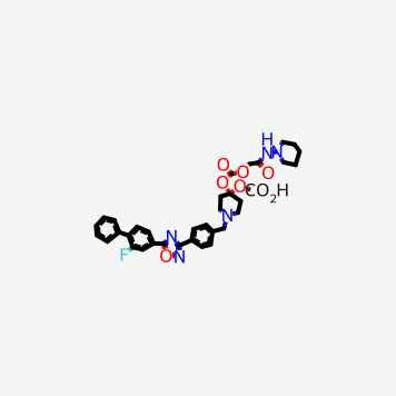 O=C(COC(=O)OC1(OC(=O)O)CCN(Cc2ccc(-c3noc(-c4ccc(-c5ccccc5)c(F)c4)n3)cc2)CC1)NN1CCCCC1